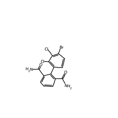 NC(=O)c1cccc(C(N)=O)c1-c1ccc(Br)c(Cl)c1Cl